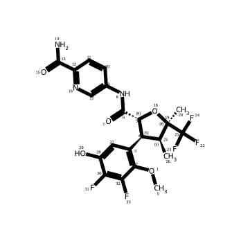 COc1c([C@H]2[C@H](C(=O)Nc3ccc(C(N)=O)nc3)O[C@@](C)(C(F)(F)F)[C@H]2C)cc(O)c(F)c1F